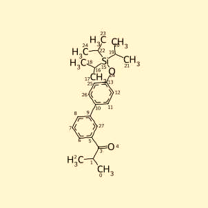 CC(C)C(=O)c1cccc(-c2ccc(O[Si](C(C)C)(C(C)C)C(C)C)cc2)c1